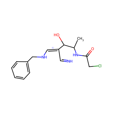 CC(NC(=O)CCl)C(O)/C(C=N)=C/NCc1ccccc1